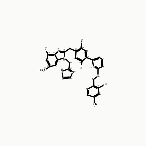 N#Cc1ccc(COc2cccc(-c3cc(F)c(Cc4nc5c(F)cc(C(=O)O)cc5n4Cc4ncco4)cc3F)n2)c(F)c1